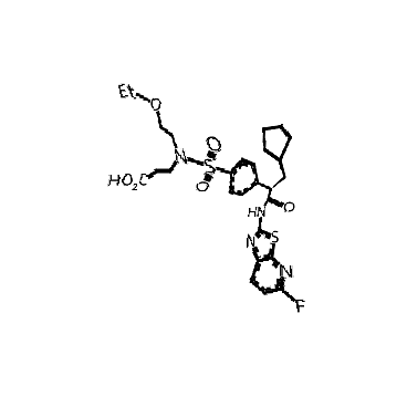 CCOCCN(CCC(=O)O)S(=O)(=O)c1ccc([C@@H](CC2CCCC2)C(=O)Nc2nc3ccc(F)nc3s2)cc1